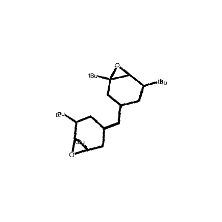 CC(C)(C)C1CC(CC2CC(C(C)(C)C)C3OC3(C(C)(C)C)C2)CC2(C(C)(C)C)OC12